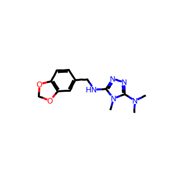 CN(C)c1nnc(NCc2ccc3c(c2)OCO3)n1C